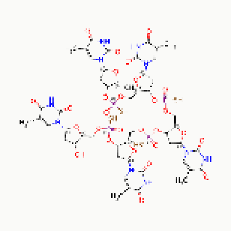 Cc1cn([C@H]2CC(O[P@](=O)(S)OC[C@H]3O[C@@H](n4cc(C)c(=O)[nH]c4=O)CC3O[P@](=O)(S)OC[C@H]3O[C@@H](n4cc(C)c(=O)[nH]c4=O)CC3O[P@](=O)(S)OC[C@H]3O[C@@H](n4cc(C)c(=O)[nH]c4=O)CC3O[P@](=O)(S)OC[C@H]3O[C@@H](n4cc(C)c(=O)[nH]c4=O)CC3O)[C@@H](C)O2)c(=O)[nH]c1=O